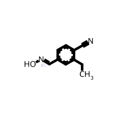 CCc1cc(/C=N/O)ccc1C#N